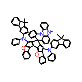 CN1c2ccccc2N2c3ccccc3C3(c4cccc1c42)c1cc(N(c2ccccc2)c2ccc4c(c2)-c2ccccc2C4(C)C)c2c(oc4ccccc42)c1-c1c3cc(N(c2ccccc2)c2ccc3c(c2)-c2ccccc2C3(C)C)c2oc3ccccc3c12